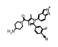 Cc1c(C(=O)N2CCC(N)CC2)nc(-c2ccc(C#N)c(F)c2)n1-c1ccc2nn(C)cc2c1